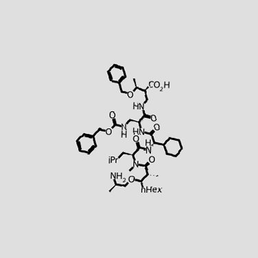 CCCCCC[C@@H](OC[C@@H](C)N)[C@@H](C)C(=O)N(C)[C@@H](CC(C)C)C(=O)N[C@H](C(=O)N[C@@H](CNC(=O)OCc1ccccc1)C(=O)NC[C@H](C(=O)O)[C@H](C)OCc1ccccc1)C1CCCCC1